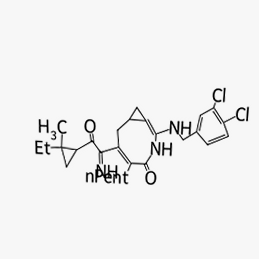 CCCCC/C1=C(\C(=N)C(=O)C2CC2(C)CC)CC2C/C2=C(\NCc2ccc(Cl)c(Cl)c2)NC1=O